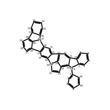 c1ccc(-n2c3ccccc3c3cc4c5cc6c(cc5n5ccc(c32)c45)c2cccc3c4ccccc4n6c32)cc1